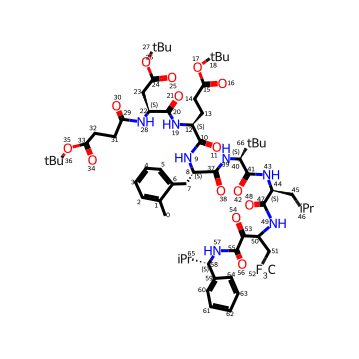 Cc1ccccc1C[C@H](NC(=O)[C@H](CCC(=O)OC(C)(C)C)NC(=O)[C@H](CC(=O)OC(C)(C)C)NC(=O)CCC(=O)OC(C)(C)C)C(=O)N[C@H](C(=O)N[C@@H](CC(C)C)C(=O)NC(CC(F)(F)F)C(=O)C(=O)N[C@H](c1ccccc1)C(C)C)C(C)(C)C